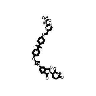 CC(C)(c1ccc(OCc2ccnc(NS(C)(=O)=O)n2)cc1)c1ccc(OC2CN(c3ccc4c(c3)C(=O)N(C3CCC(=O)NC3=O)C4=O)C2)cc1